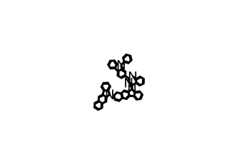 C1=CC(n2c3ccccc3c3cc4ccccc4cc32)Cc2cc3c(cc21)c1ccccc1n3-c1nc(-c2ccc3c4ccccc4n(-c4ccccc4)c3c2)nc2ccccc12